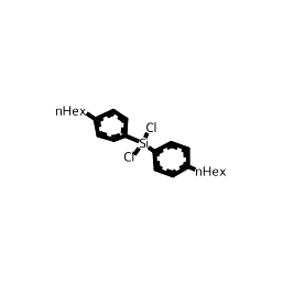 CCCCCCc1ccc([Si](Cl)(Cl)c2ccc(CCCCCC)cc2)cc1